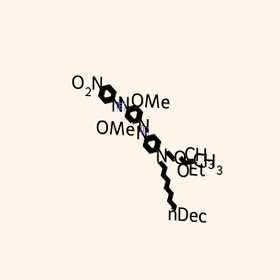 CCCCCCCCCCCCCCCCCCN(CCOC(=O)C(C)(C)CC)c1ccc(/N=N/c2cc(OC)c(/N=N/c3ccc([N+](=O)[O-])cc3)cc2OC)cc1